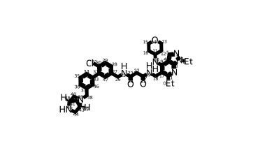 CCc1nc2c(cnn2CC)c(NC2CCOCC2)c1CNC(=O)CC(=O)NCc1ccc(Cl)c(-c2cccc(CN3C[C@@H]4C[C@H]3CN4)c2)c1